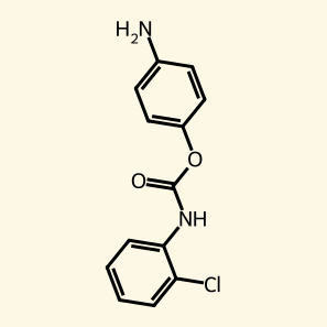 Nc1ccc(OC(=O)Nc2ccccc2Cl)cc1